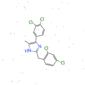 Cc1[nH]c(Cc2ccc(Cl)cc2Cl)nc1-c1ccc(Cl)c(Cl)c1